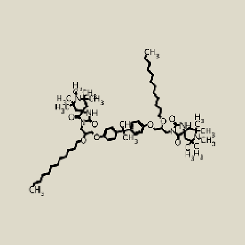 CCCCCCCCCCCCOC(COc1ccc(C(C)(C)c2ccc(OCC(CN3C(=O)NC4(CC(C)(C)N(C)C(C)(C)C4)C3=O)OCCCCCCCCCCCC)cc2)cc1)CN1C(=O)NC2(CC(C)(C)N(C)C(C)(C)C2)C1=O